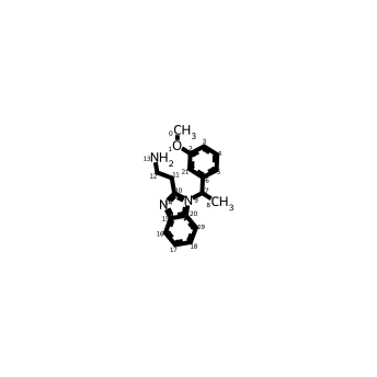 COc1cccc(C(C)n2c(CCN)nc3ccccc32)c1